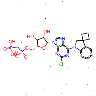 O=P(O)(O)CP(=O)(O)OC[C@H]1O[C@@H](n2cnc3c(N4CC5(CCC5)c5ccccc54)nc(Cl)nc32)[C@@H](O)C1O